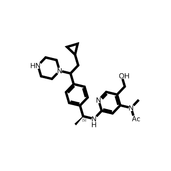 CC(=O)N(C)c1cc(N[C@@H](C)c2ccc(C(CC3CC3)N3CCNCC3)cc2)ncc1CO